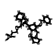 C[Si](C)(C)CCOCn1c(-c2ccc(CN3CCCC3=O)c(OCc3ccccc3)c2)nc2ncccc21